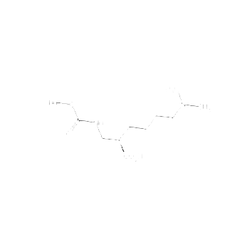 CN(C)CCCC[C@H](CNC(=O)OC(C)(C)C)C(=O)O